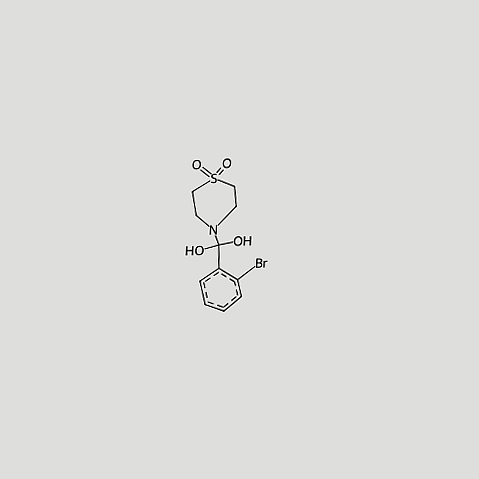 O=S1(=O)CCN(C(O)(O)c2ccccc2Br)CC1